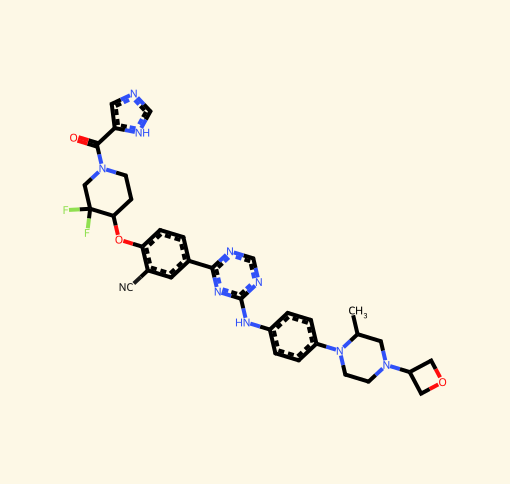 CC1CN(C2COC2)CCN1c1ccc(Nc2ncnc(-c3ccc(OC4CCN(C(=O)c5cnc[nH]5)CC4(F)F)c(C#N)c3)n2)cc1